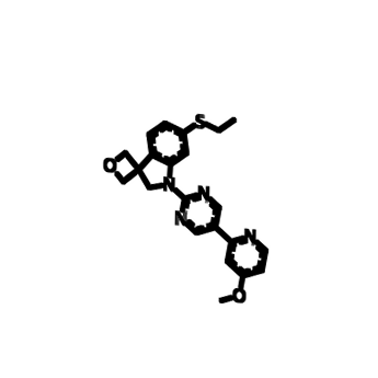 CCSc1ccc2c(c1)N(c1ncc(-c3cc(OC)ccn3)cn1)CC21COC1